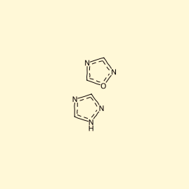 c1nc[nH]n1.c1ncon1